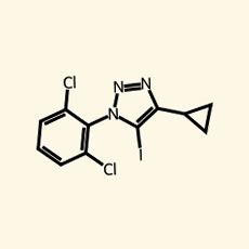 Clc1cccc(Cl)c1-n1nnc(C2CC2)c1I